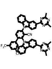 Cc1nc(C)nc(-c2ccc3c(c2)c2ccccc2n3-c2ccc(-c3cc(C#N)cc(C(F)(F)F)c3)c(-n3c4ccccc4c4cc(-c5nc(C)nc(C)n5)ccc43)c2C#N)n1